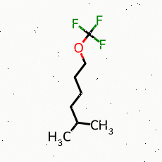 CC(C)CCCCOC(F)(F)F